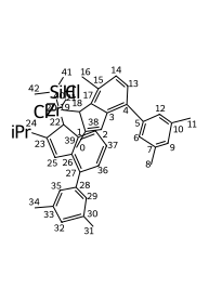 CC1=Cc2c(-c3cc(C)cc(C)c3)ccc(C)c2[CH]1[Zr]([Cl])([Cl])([CH]1C(C(C)C)=Cc2c(-c3cc(C)cc(C)c3)cccc21)[SiH](C)C